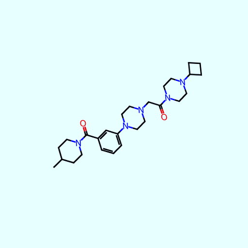 CC1CCN(C(=O)c2cccc(N3CCN(CC(=O)N4CCN(C5CCC5)CC4)CC3)c2)CC1